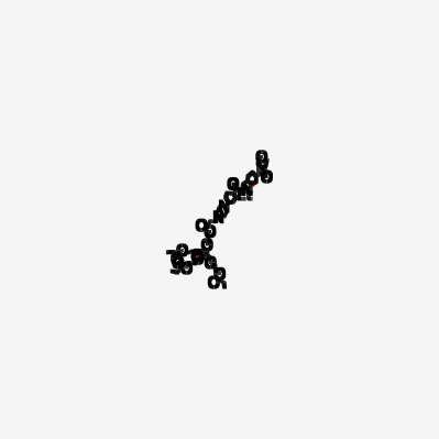 C=CC(=O)OCCOCC(COCCOC(=O)C=C)(COCCOC(=O)C=C)COCCOC(=O)CCN1CCN(c2ccc(C(=O)C(CC)(Cc3ccc(C(=O)N4CCOCC4)cc3)N(C)C)cc2)CC1